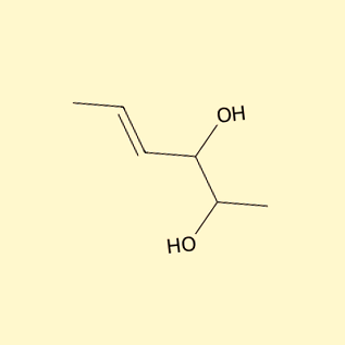 CC=CC(O)C(C)O